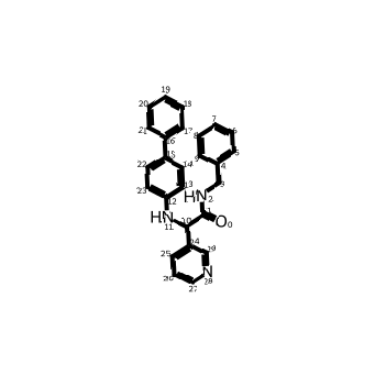 O=C(NCc1ccccc1)C(Nc1ccc(-c2ccccc2)cc1)c1cccnc1